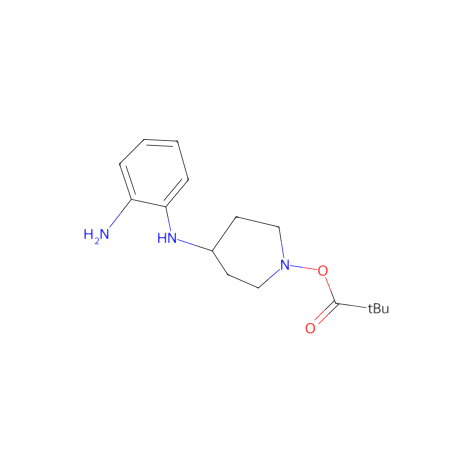 CC(C)(C)C(=O)ON1CCC(Nc2ccccc2N)CC1